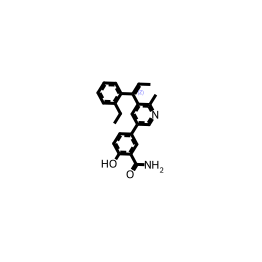 C/C=C(/c1ccccc1CC)c1cc(-c2ccc(O)c(C(N)=O)c2)cnc1C